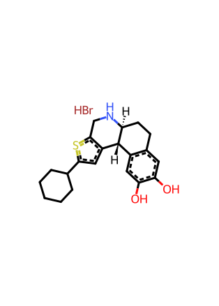 Br.Oc1cc2c(cc1O)[C@@H]1c3cc(C4CCCCC4)sc3CN[C@H]1CC2